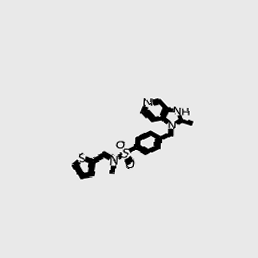 CC1Nc2cnccc2N1Cc1ccc(S(=O)(=O)N(C)Cc2cccs2)cc1